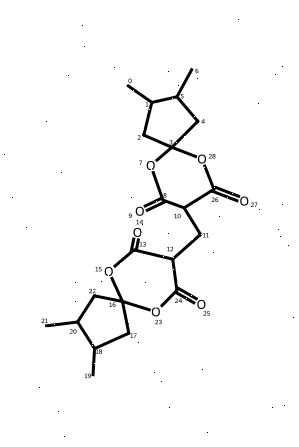 CC1CC2(CC1C)OC(=O)C(CC1C(=O)OC3(CC(C)C(C)C3)OC1=O)C(=O)O2